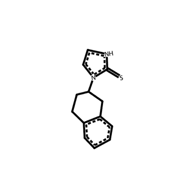 S=c1[nH]ccn1C1CCc2ccccc2C1